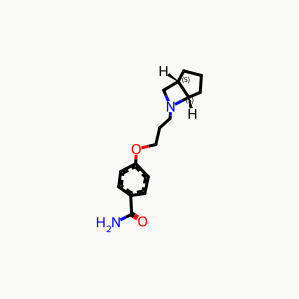 NC(=O)c1ccc(OCCCN2C[C@@H]3CCC[C@@H]32)cc1